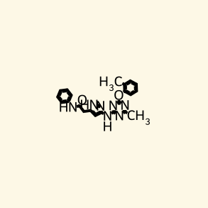 Cc1nc(Nc2cc(CC(=O)Nc3ccccc3)[nH]n2)nc(Oc2ccccc2C)n1